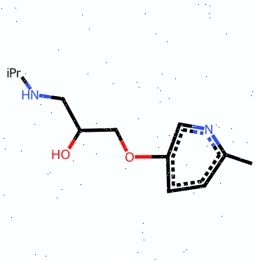 Cc1ccc(OCC(O)CNC(C)C)cn1